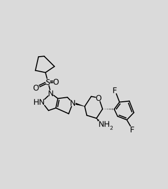 N[C@H]1C[C@@H](N2CC3=C(C2)N(S(=O)(=O)C2CCCC2)NC3)CO[C@@H]1c1cc(F)ccc1F